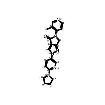 Cc1cnccc1N1Cc2nn(-c3ccc(N4CCCC4)nc3)cc2C1=O